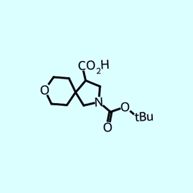 CC(C)(C)OC(=O)N1CC(C(=O)O)C2(CCOCC2)C1